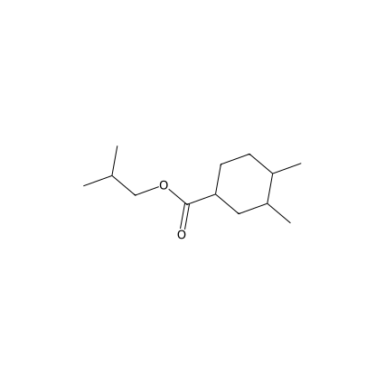 CC(C)COC(=O)C1CCC(C)C(C)C1